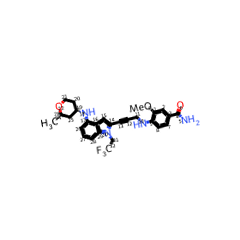 COc1cc(C(N)=O)ccc1NCC#Cc1cc2c(N[C@H]3CCO[C@@H](C)C3)cccc2n1CC(F)(F)F